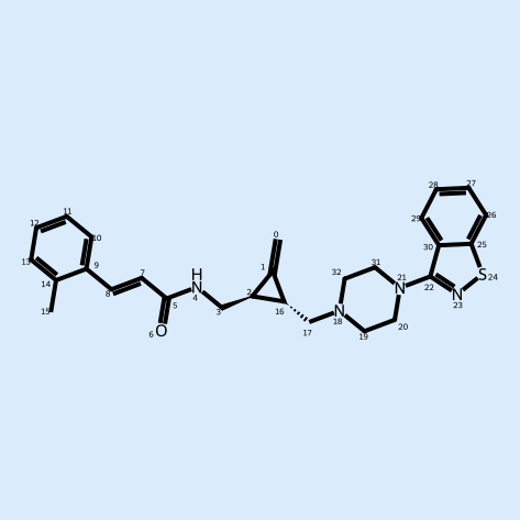 C=C1[C@H](CNC(=O)/C=C/c2ccccc2C)[C@H]1CN1CCN(c2nsc3ccccc23)CC1